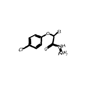 CCC(Oc1ccc(Cl)cc1)C(=O)NN